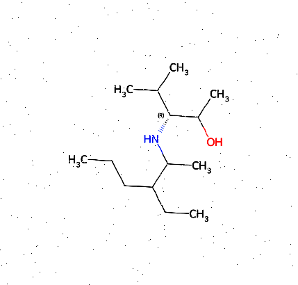 CCCC(CC)C(C)N[C@H](C(C)C)C(C)O